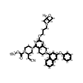 CC(C)(C)OC(=O)N1CCN(c2nc(OCCCN3C[C@H]4OCC43)nc3c2CCN(c2cc(Oc4ccccc4)cc4ccccc24)C3)CC1CC#N